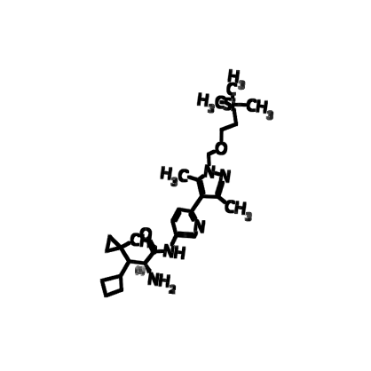 Cc1nn(COCC[Si](C)(C)C)c(C)c1-c1ccc(NC(=O)[C@@H](N)C(C2CCC2)C2(C)CC2)cn1